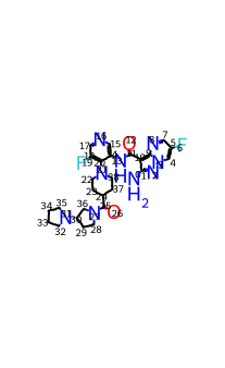 Nc1nn2cc(F)cnc2c1C(=O)Nc1cncc(F)c1N1CCC(C(=O)N2CC[C@H](N3CCCC3)C2)CC1